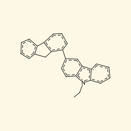 CCn1c2ccccc2c2cc(-c3cccc4c3Cc3ccccc3-4)ccc21